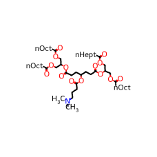 CCCCCCCCC(=O)OCC(COC(=O)CCCCCCC)OC(=O)CCC(CCC(=O)OC(COC(=O)CCCCCCCC)COC(=O)CCCCCCCC)OC(=O)CCCN(C)C